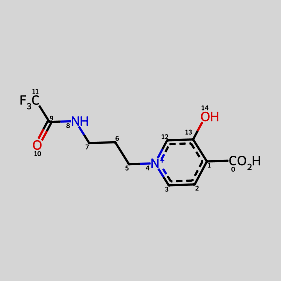 O=C(O)c1cc[n+](CCCNC(=O)C(F)(F)F)cc1O